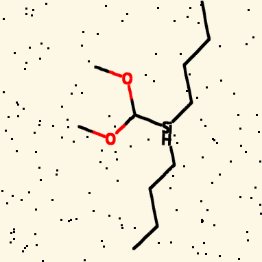 CCCC[SiH](CCCC)C(OC)OC